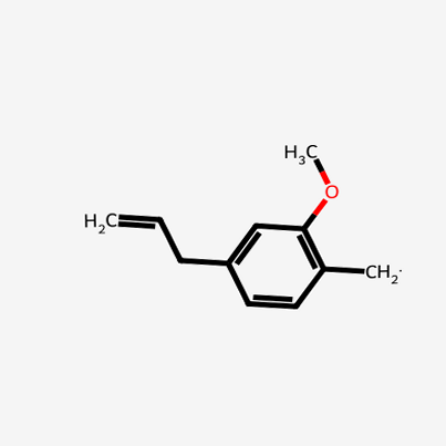 [CH2]c1ccc(CC=C)cc1OC